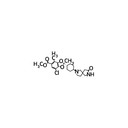 COC(=O)c1cc(Cl)c2c(c1C)OC(C)([C@H]1CC[C@H](N3CCC4(CNC(=O)C4)C3)CC1)O2